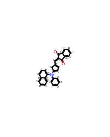 O=C1C(=CC2=CC=C(N(c3ccccc3)c3cccc4ccccc34)C2)C(=O)c2ccccc21